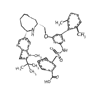 Cc1cccc(C)c1-c1cc(OC[C@H]2CCCCC[C@@H](c3cnc4cc(C(C)(C)C)n(C)c4n3)N2)nc(NS(=O)(=O)c2cccc(C(=O)O)c2)n1